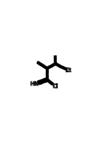 CCC(C)C(C)C(=N)Cl